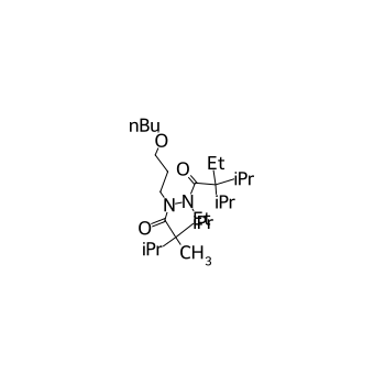 CCCCOCCCN(C(=O)C(C)(C(C)C)C(C)C)N(CC)C(=O)C(CC)(C(C)C)C(C)C